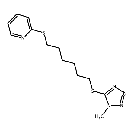 Cn1nnnc1SCCCCCCSc1ccccn1